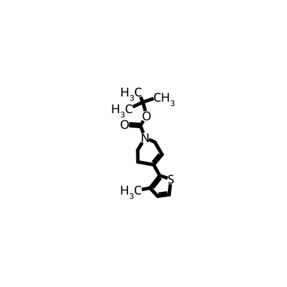 Cc1ccsc1C1=CCN(C(=O)OC(C)(C)C)CC1